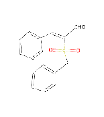 O=CC(=Cc1ccccc1)S(=O)(=O)Cc1ccccc1